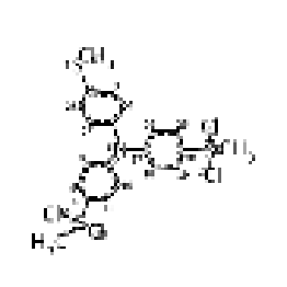 CSc1ccc(N(c2ccc(S(C)(Cl)Cl)cc2)c2ccc(S(C)(Cl)Cl)cc2)cc1